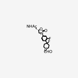 CC(=O)NC[C@H]1CN(c2ccc(C3(F)CCN(C=O)CC3)c(F)c2)C(=O)O1